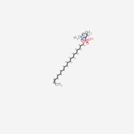 C/C=C\CCCCCCCCCCCCCCCCCOP(=O)(O)C(CC)[N+](C)(C)C